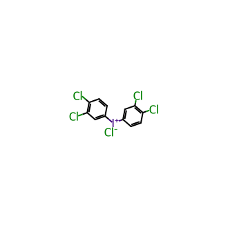 Clc1ccc([I+]c2ccc(Cl)c(Cl)c2)cc1Cl.[Cl-]